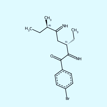 CC[C@@H](CC(=N)[C@H](C)CC)C(=N)C(=O)c1ccc(Br)cc1